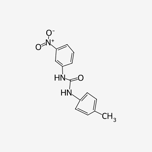 Cc1ccc(NC(=O)Nc2cccc([N+](=O)[O-])c2)cc1